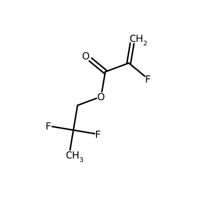 C=C(F)C(=O)OCC(C)(F)F